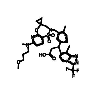 COCCCN(C)c1ccc2c(n1)OC1(CC1)CN(Cc1cc([C@H](CC(=O)O)c3ccn4c(C(F)(F)F)nnc4c3C)ccc1C)S2(=O)=O